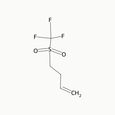 C=CCCS(=O)(=O)C(F)(F)F